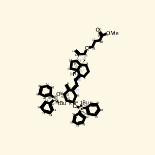 C=C1/C(=C\C=C2/CCC[C@]3(C)[C@@H](C(=C)COCCCC(=O)OC)CC[C@@H]23)C[C@@H](O[Si](c2ccccc2)(c2ccccc2)C(C)(C)C)C[C@@H]1O[Si](c1ccccc1)(c1ccccc1)C(C)(C)C